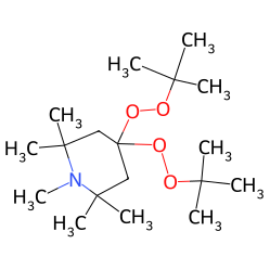 CN1C(C)(C)CC(OOC(C)(C)C)(OOC(C)(C)C)CC1(C)C